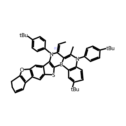 C/C=C1\C2=C(C)N(c3ccc(C(C)(C)C)cc3)c3ccc(C(C)(C)C)cc3B2c2sc3cc4c5c(oc4cc3c2N1c1ccc(C(C)(C)C)cc1)CCC=C5